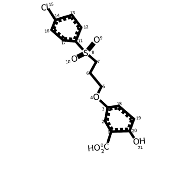 O=C(O)c1cc(OCCCS(=O)(=O)c2ccc(Cl)cc2)ccc1O